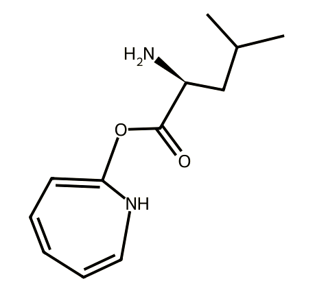 CC(C)C[C@H](N)C(=O)OC1=CC=CC=CN1